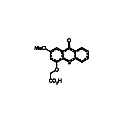 COc1cc(OCC(=O)O)c2sc3ccccc3c(=O)c2c1